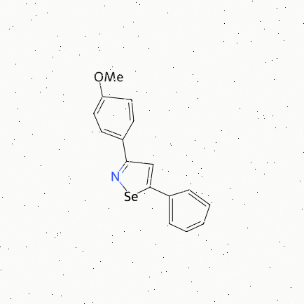 COc1ccc(-c2cc(-c3ccccc3)[se]n2)cc1